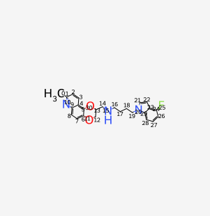 Cc1ccc2c3c(ccc2n1)OCC(CNCCCCn1ccc2c(F)cccc21)O3